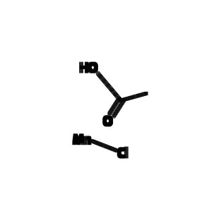 CC(=O)O.[Cl][Mn]